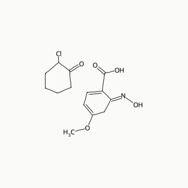 COC1=CC=C(C(=O)O)C(=NO)C1.O=C1CCCCC1Cl